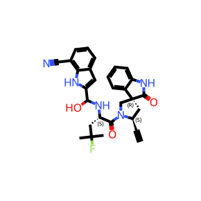 C#C[C@@H]1C[C@@]2(CN1C(=O)[C@H](CC(C)(C)F)NC(O)c1cc3cccc(C#N)c3[nH]1)C(=O)Nc1ccccc12